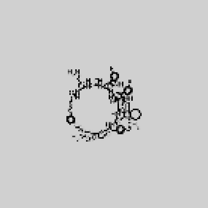 COc1ccc(C[C@@H]2NC(=O)[C@H](CC3CNC4(CCCCCCC4)N3)NC(=O)[C@H](CC(=O)O)NC(=O)[C@H](Cc3c[nH]c4ccc(F)cc34)NC(=O)[C@H](Cc3c[nH]c4ccc(F)cc34)NC(=O)CNC(=O)[C@H](CCCCN)NC(=O)CCSCc3cccc(c3)CSC[C@@H](C(N)=O)NC(=O)[C@@H]3CCCN3C2=O)cc1